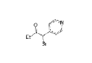 CCC(=O)C(Br)c1ccncc1